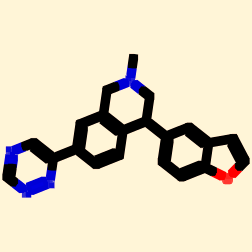 CN1Cc2cc(-c3cncnn3)ccc2C(c2ccc3occc3c2)C1